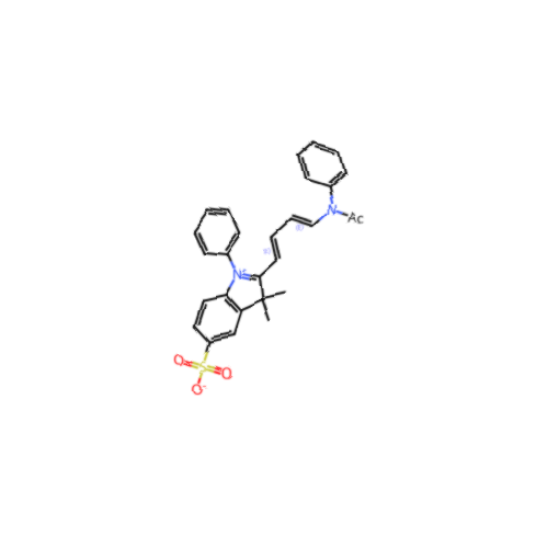 CC(=O)N(/C=C/C=C/C1=[N+](c2ccccc2)c2ccc(S(=O)(=O)[O-])cc2C1(C)C)c1ccccc1